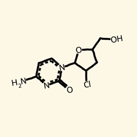 Nc1ccn(C2OC(CO)CC2Cl)c(=O)n1